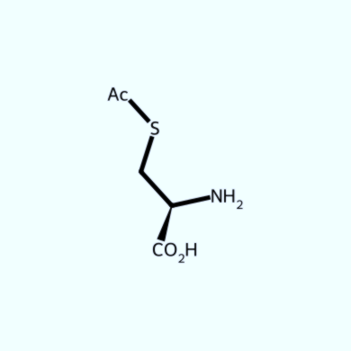 CC(=O)SC[C@@H](N)C(=O)O